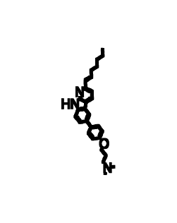 CCCCC/C=C/c1ccc2c(n1)[nH]c1ccc(-c3ccc(OCCCN(C)C)cc3)cc12